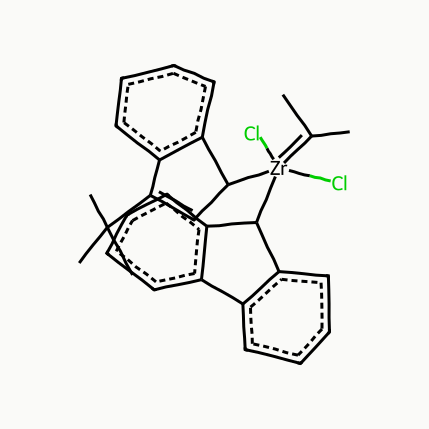 C[C](C)=[Zr]([Cl])([Cl])([CH]1C=C(C(C)(C)C)c2ccccc21)[CH]1c2ccccc2-c2ccccc21